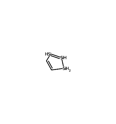 C1=C[SiH2][SiH]=[SiH]1